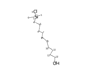 C[Si](C)(Cl)CCCCCCCCCCO